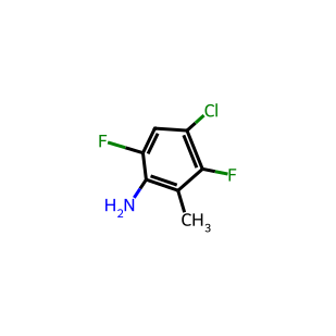 Cc1c(N)c(F)cc(Cl)c1F